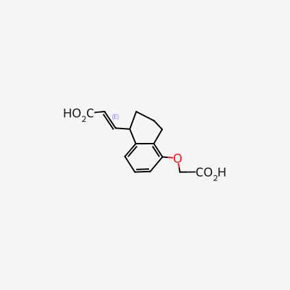 O=C(O)/C=C/C1CCCc2c(OCC(=O)O)cccc21